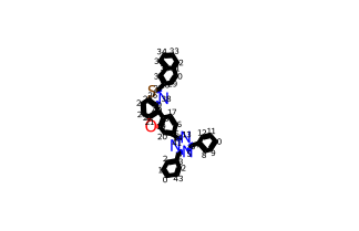 c1ccc(-c2nc(-c3ccccc3)nc(-c3ccc4c(c3)oc3ccc5sc(-c6ccc7ccccc7c6)nc5c34)n2)cc1